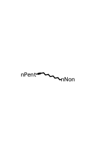 [CH2]CCCCC#CCCCCCCCCCCCCCCCC[CH2]